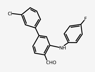 O=Cc1ccc(-c2cccc(Cl)c2)cc1Nc1ccc(F)cc1